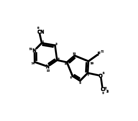 N#Cc1cc(-c2ccc(OC(F)(F)F)c(F)c2)ncn1